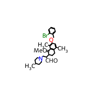 CO[C@H]1c2c(C)c(OCc3ccccc3Br)cc(C)c2CCC1C(C=O)CN1CCC(C)CC1